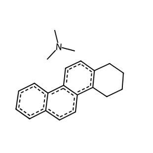 CN(C)C.c1ccc2c(c1)ccc1c3c(ccc12)CCCC3